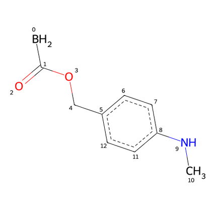 BC(=O)OCc1ccc(NC)cc1